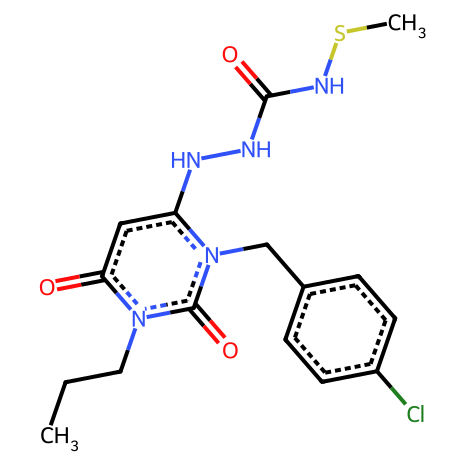 CCCn1c(=O)cc(NNC(=O)NSC)n(Cc2ccc(Cl)cc2)c1=O